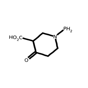 O=C(O)C1CN(P)CCC1=O